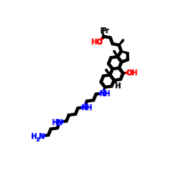 CC(C)[C@H](O)CC[C@@H](C)[C@H]1CCC2C3C(CC[C@@]21C)[C@@]1(C)CC[C@H](NCCCNCCCCNCCCN)C[C@@H]1C[C@@H]3O